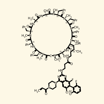 C=CC(=O)N1CCN(c2nc(NCCC(=O)NCC[C@@H](C)[C@@H](O)[C@H]3C(=O)N[C@@H](CC)C(=O)N(C)CC(=O)N(C)[C@@H](CC(C)C)C(=O)N[C@@H](C(C)C)C(=O)N(C)[C@@H](CC(C)C)C(=O)N[C@@H](C)C(=O)N[C@H](C)C(=O)N(C)[C@@H](CC(C)C)C(=O)N(C)[C@@H](CC(C)C)C(=O)N(C)[C@@H](C(C)C)C(=O)N3C)nc3c(F)c(-c4c(O)cccc4F)c(Cl)cc23)CC1